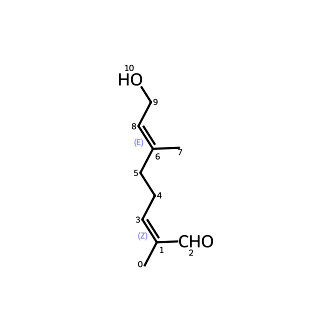 C/C(C=O)=C/CC/C(C)=C/CO